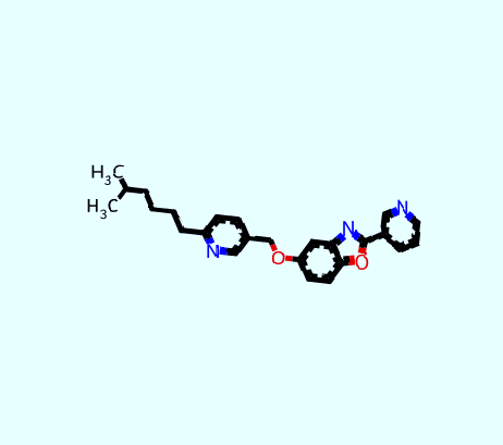 CC(C)CCCCc1ccc(COc2ccc3oc(-c4cccnc4)nc3c2)cn1